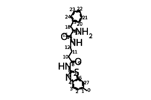 Cc1ccc2nc(NC(=O)CCCNC(=O)[C@@H](N)Cc3ccccc3)sc2c1